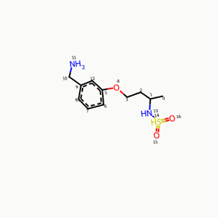 CC(CCOc1cc[c]c(CN)c1)N[SH](=O)=O